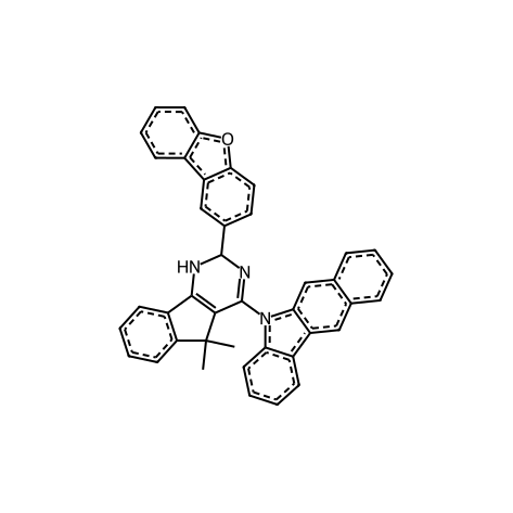 CC1(C)C2=C(NC(c3ccc4oc5ccccc5c4c3)N=C2n2c3ccccc3c3cc4ccccc4cc32)c2ccccc21